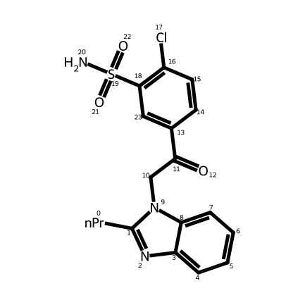 CCCc1nc2ccccc2n1CC(=O)c1ccc(Cl)c(S(N)(=O)=O)c1